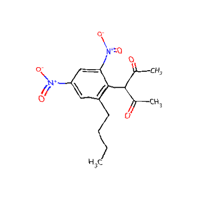 CCCCc1cc([N+](=O)[O-])cc([N+](=O)[O-])c1C(C(C)=O)C(C)=O